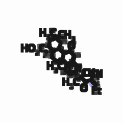 CC/C=C(/C#N)C(=O)C(C)(C)[C@@H]1CC[C@]2(C)C(=CC(=O)C3C4CC(C)(C)CC[C@]4(CC(=O)O)CC[C@]32C)C1